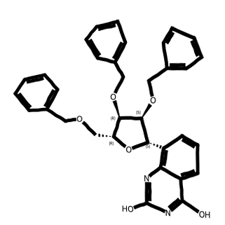 Oc1nc(O)c2cccc([C@@H]3O[C@H](COCc4ccccc4)[C@@H](OCc4ccccc4)[C@H]3OCc3ccccc3)c2n1